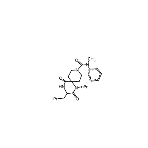 CCCN1C(=O)C(CC(C)C)NC(=O)C12CCN(C(=O)N(C)c1ccccc1)CC2